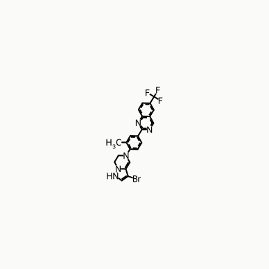 Cc1cc(-c2ncc3cc(C(F)(F)F)ccc3n2)ccc1N1C=C2C(Br)=CNN2CC1